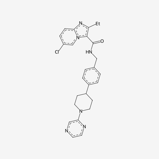 CCc1nc2ccc(Cl)cn2c1C(=O)NCc1ccc(C2CCN(c3cnccn3)CC2)cc1